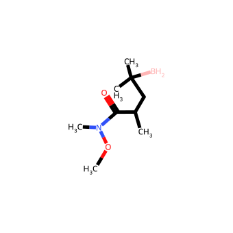 BC(C)(C)CC(C)C(=O)N(C)OC